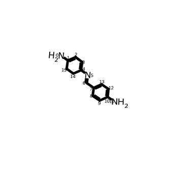 NC1=CC=C(N=Cc2ccc(N)cc2)CC1